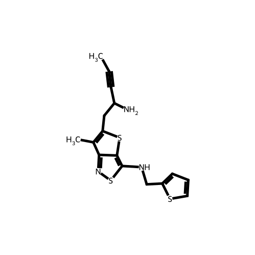 CC#CC(N)Cc1sc2c(NCc3cccs3)snc2c1C